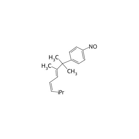 C/C(=C\C=C/C(C)C)C(C)(C)c1ccc(N=O)cc1